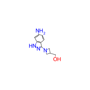 Nc1ccc2c(N3CC(CO)C3)n[nH]c2c1